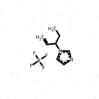 C=CC(CC)n1ccnc1.F[B-](F)(F)F